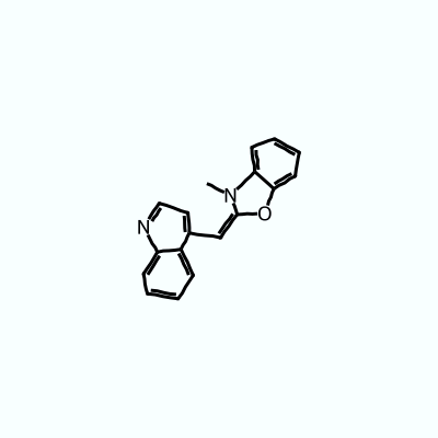 CN1C(=Cc2ccnc3ccccc23)Oc2ccccc21